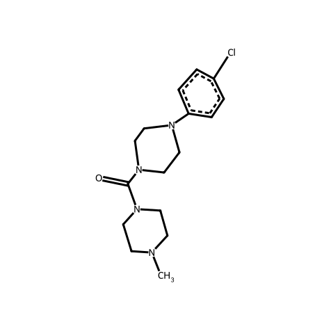 CN1CCN(C(=O)N2CCN(c3ccc(Cl)cc3)CC2)CC1